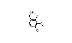 COc1c(Cl)ccc(CN)c1F